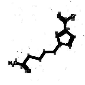 CC(=O)CCCCn1ncc([N+](=O)[O-])n1